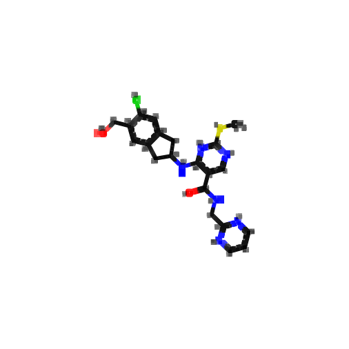 CSc1ncc(C(=O)NCc2ncccn2)c(NC2Cc3cc(Cl)c(CO)cc3C2)n1